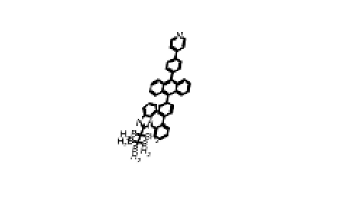 BC(B)(B)C(B)(B)c1nc2ccccc2n1-c1ccccc1-c1ccc(-c2c3ccccc3c(-c3ccc(-c4ccncc4)cc3)c3ccccc23)cc1